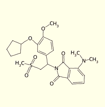 COc1ccc(C(CS(C)(=O)=O)N2C(=O)c3cccc(N(C)C)c3C2=O)cc1OC1CCCC1